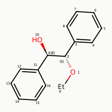 CCO[C@@H](c1ccccc1)[C@H](O)c1ccccc1